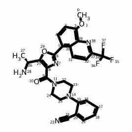 COc1ccc(-c2nc(C(=O)N3CCN(c4ccccc4C#N)CC3)c([C@H](C)N)o2)c2ccc(C(F)(F)F)nc12